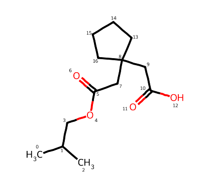 CC(C)COC(=O)CC1(CC(=O)O)CCCC1